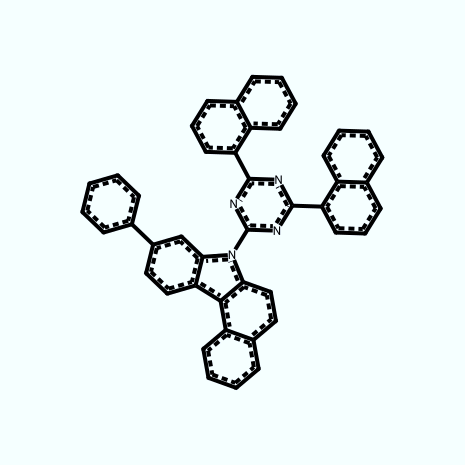 c1ccc(-c2ccc3c4c5ccccc5ccc4n(-c4nc(-c5cccc6ccccc56)nc(-c5cccc6ccccc56)n4)c3c2)cc1